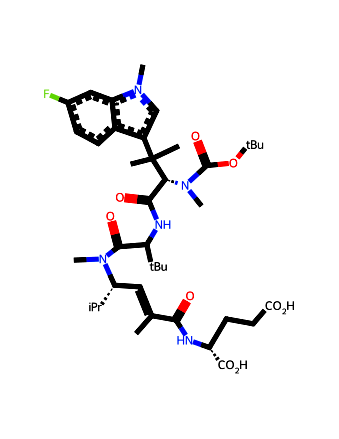 C/C(=C\[C@H](C(C)C)N(C)C(=O)C(NC(=O)[C@@H](N(C)C(=O)OC(C)(C)C)C(C)(C)c1cn(C)c2cc(F)ccc12)C(C)(C)C)C(=O)N[C@H](CCC(=O)O)C(=O)O